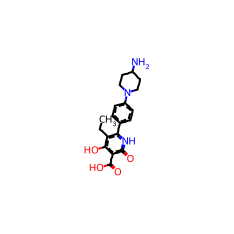 CCc1c(-c2ccc(N3CCC(N)CC3)cc2)[nH]c(=O)c(C(=O)O)c1O